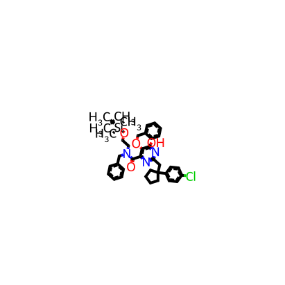 CC(C)(C)[Si](C)(C)OCCN(Cc1ccccc1)C(=O)c1nc(CC2(c3ccc(Cl)cc3)CCCC2)nc(O)c1OCc1ccccc1